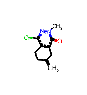 C=C1CCc2c(Cl)nn(C)c(=O)c2C1